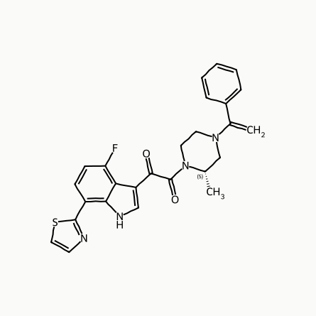 C=C(c1ccccc1)N1CCN(C(=O)C(=O)c2c[nH]c3c(-c4nccs4)ccc(F)c23)[C@@H](C)C1